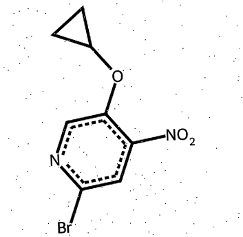 O=[N+]([O-])c1cc(Br)ncc1OC1CC1